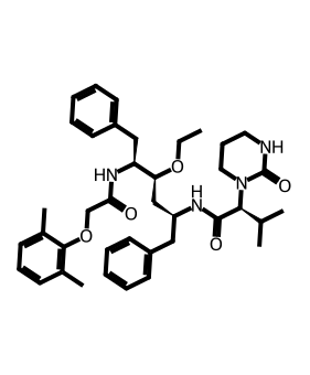 CCO[C@@H](C[C@H](Cc1ccccc1)NC(=O)[C@H](C(C)C)N1CCCNC1=O)[C@H](Cc1ccccc1)NC(=O)COc1c(C)cccc1C